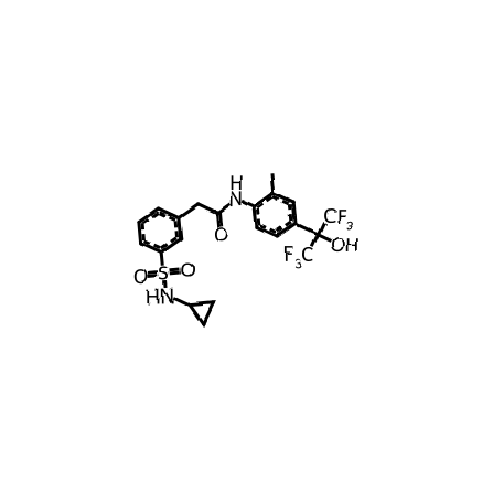 Cc1cc(C(O)(C(F)(F)F)C(F)(F)F)ccc1NC(=O)Cc1cccc(S(=O)(=O)NC2CC2)c1